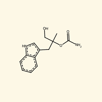 CC(CO)(Cc1c[nH]c2ccccc12)OC(N)=O